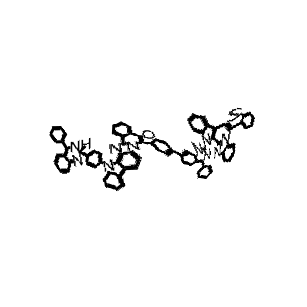 CC1(c2ccc(-n3c4ccccc4c4ccc5c(nc6c7ccccc7c7oc8cc(-c9ccc%10c(-c%11ccccc%11)nc(-n%11c%12ccccc%12c%12c%13sc%14ccccc%14c%13n%13c%14ccccc%14nc%13c%12%11)nc%10c9)ccc8c7n56)c43)cc2)N=c2ccccc2=C(c2ccccc2)N1